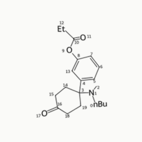 CCCCN(C)C1(c2cccc(OC(=O)CC)c2)CCC(=O)CC1